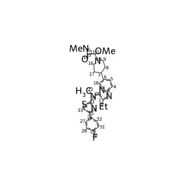 CCc1nc2ccc(C3CCN(C(OC)C(=O)NC)CC3)cn2c1N(C)c1nc(-c2ccc(F)cc2)cs1